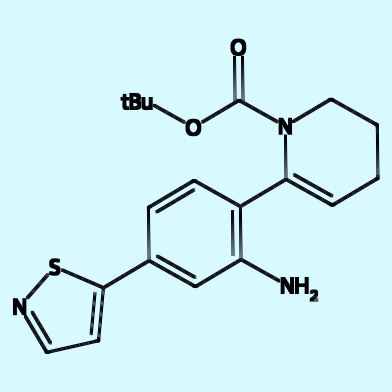 CC(C)(C)OC(=O)N1CCCC=C1c1ccc(-c2ccns2)cc1N